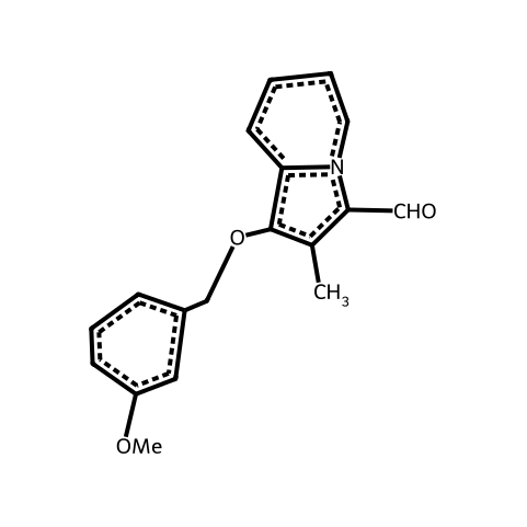 COc1cccc(COc2c(C)c(C=O)n3ccccc23)c1